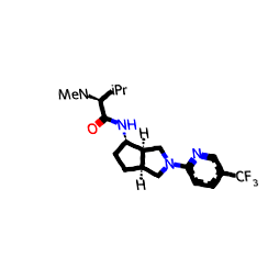 CN[C@H](C(=O)N[C@H]1CC[C@@H]2CN(c3ccc(C(F)(F)F)cn3)C[C@@H]21)C(C)C